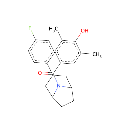 Cc1cc(C(=O)N2C3CCC2CC(c2ccc(F)cc2)C3)cc(C)c1O